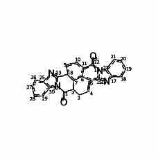 O=C1C2CC=c3c4c2c(ccc4c(=O)n2c3nc3ccccc32)-c2nc3ccccc3n21